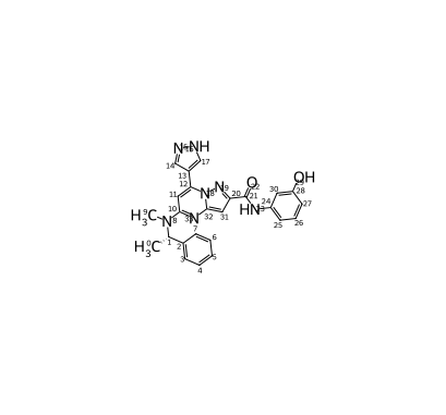 C[C@@H](c1ccccc1)N(C)c1cc(-c2cn[nH]c2)n2nc(C(=O)Nc3cccc(O)c3)cc2n1